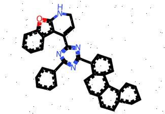 C1=C(c2nc(-c3ccccc3)nc(-c3cccc4c3ccc3ccc5ccccc5c34)n2)c2c(oc3ccccc23)NC1